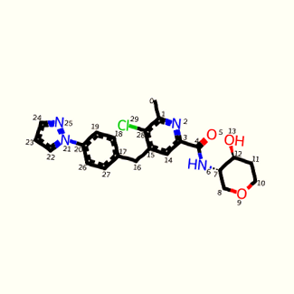 Cc1nc(C(=O)N[C@H]2COCC[C@@H]2O)cc(Cc2ccc(-n3cccn3)cc2)c1Cl